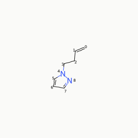 C=CCCn1cccn1